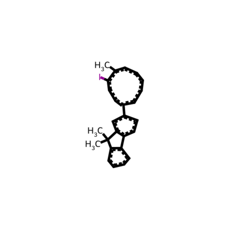 Cc1cccccc(-c2ccc3c(c2)C(C)(C)c2ccccc2-3)ccc1I